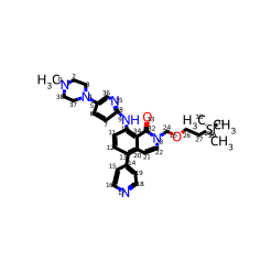 CN1CCN(c2ccc(Nc3ccc(-c4ccncc4)c4ccn(COCC[Si](C)(C)C)c(=O)c34)nc2)CC1